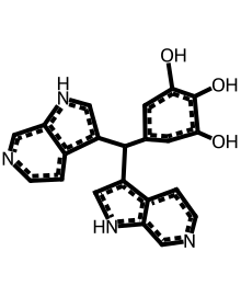 Oc1cc(C(c2c[nH]c3cnccc23)c2c[nH]c3cnccc23)cc(O)c1O